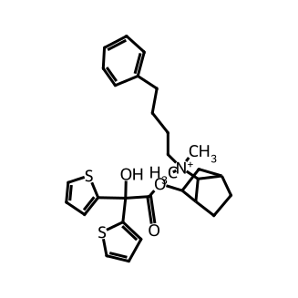 C[N+](C)(CCCCc1ccccc1)C1C2CCC1C(OC(=O)C(O)(c1cccs1)c1cccs1)C2